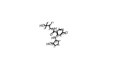 CC(C)(O)C(F)CNC(=O)c1cnc(Cl)cc1N[C@@H]1CCC[C@H]1O